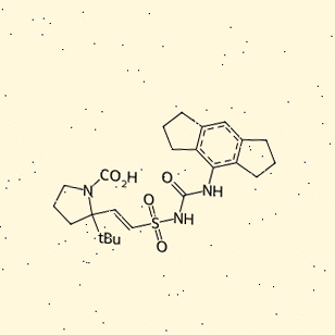 CC(C)(C)C1(C=CS(=O)(=O)NC(=O)Nc2c3c(cc4c2CCC4)CCC3)CCCN1C(=O)O